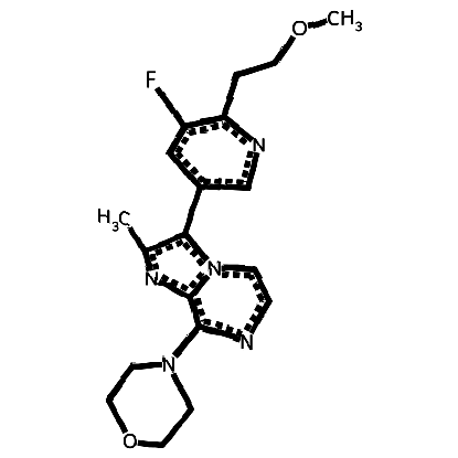 COCCc1ncc(-c2c(C)nc3c(N4CCOCC4)nccn23)cc1F